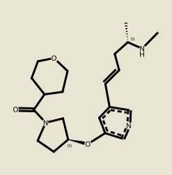 CN[C@@H](C)CC=Cc1cncc(O[C@H]2CCN(C(=O)C3CCOCC3)C2)c1